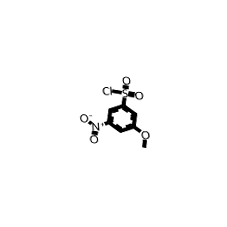 COc1cc([N+](=O)[O-])cc(S(=O)(=O)Cl)c1